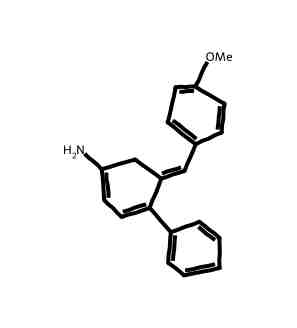 COc1ccc(C=C2CC(N)=CC=C2c2ccccc2)cc1